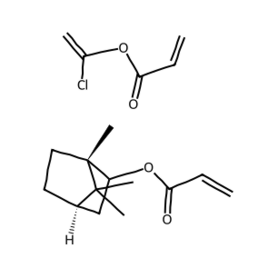 C=CC(=O)OC(=C)Cl.C=CC(=O)OC1C[C@H]2CC[C@@]1(C)C2(C)C